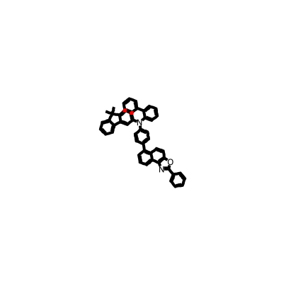 CC1(C)c2ccccc2-c2cc(N(c3ccc(-c4cccc5c4ccc4oc(-c6ccccc6)nc45)cc3)c3ccccc3-c3ccccc3)ccc21